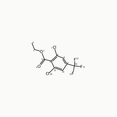 CCOC(=O)c1c(Cl)cc(C(F)(F)F)cc1Cl